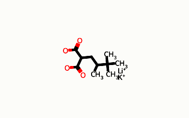 CC(CC(C(=O)[O-])C(=O)[O-])C(C)(C)C.[K+].[Li+]